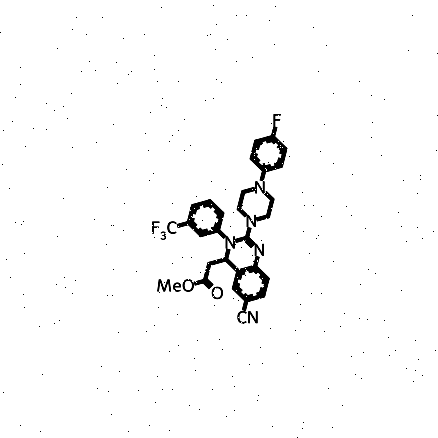 COC(=O)CC1c2cc(C#N)ccc2N=C(N2CCN(c3ccc(F)cc3)CC2)N1c1cccc(C(F)(F)F)c1